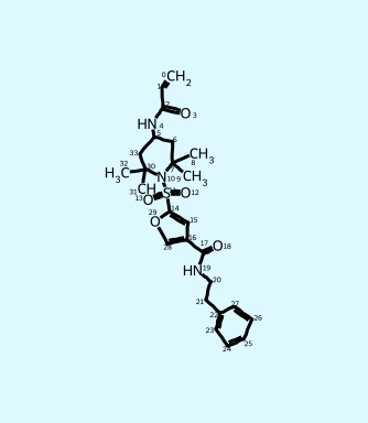 C=CC(=O)NC1CC(C)(C)N(S(=O)(=O)c2cc(C(=O)NCCc3ccccc3)co2)C(C)(C)C1